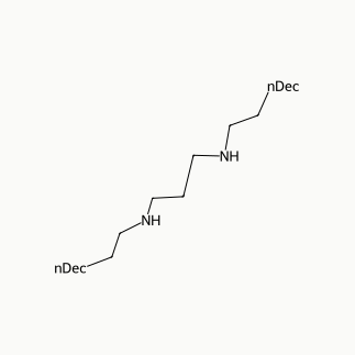 CCCCCCCCCCCCNCCCNCCCCCCCCCCCC